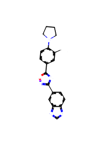 FC(F)(F)c1cc(-c2nc(-c3ccc4[nH]cnc4c3)no2)ccc1N1CCCC1